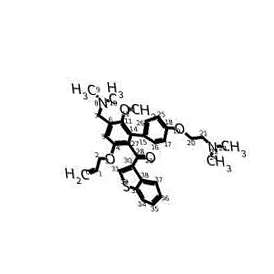 C=CCOc1cc(CN(C)C)c(OC)c(-c2ccc(OCCN(C)C)cc2)c1C(=O)c1csc2ccccc12